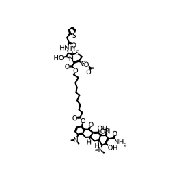 CC(=O)OCC1=C(C(=O)OCCCCCCCCCCC(=O)Oc2ccc(N(C)C)c3c2C(=O)C2=C(O)[C@]4(O)C(=O)C(C(N)=O)=C(O)[C@@H](N(C)C)[C@@H]4C[C@@H]2C3)N2C(O)[C@@H](NC(=O)Cc3cccs3)[C@H]2SC1